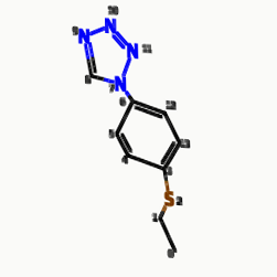 CCSc1ccc(-n2cnnn2)cc1